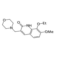 CCOc1c(OC)ccc2cc(CN3CCOCC3)c(=O)[nH]c12